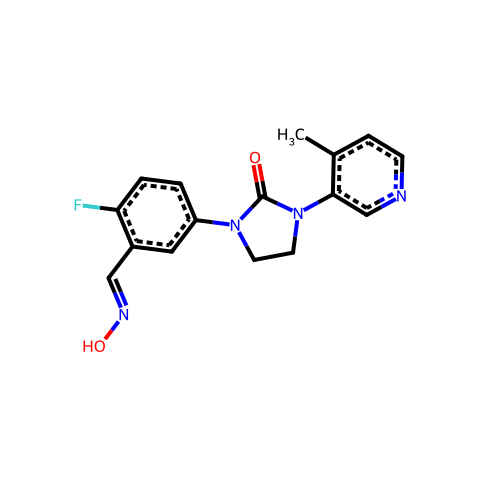 Cc1ccncc1N1CCN(c2ccc(F)c(C=NO)c2)C1=O